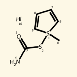 CS1(SC(N)=O)C=CC=C1.I